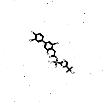 CC(C)c1cc(-c2ccc(Cl)c(Cl)c2)cc(C(C)C)c1CC(=O)N=S(N)(=O)c1ncc(C(C)(C)O)s1